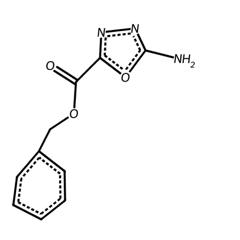 Nc1nnc(C(=O)OCc2ccccc2)o1